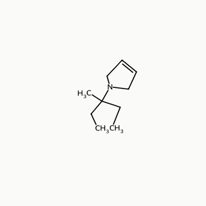 CCC(C)(CC)N1CC=CC1